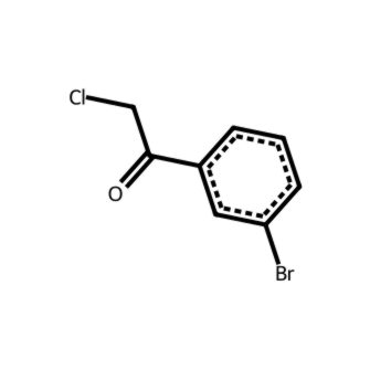 O=C(CCl)c1cccc(Br)c1